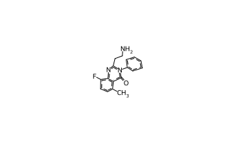 Cc1ccc(F)c2nc(CCN)n(-c3ccccc3)c(=O)c12